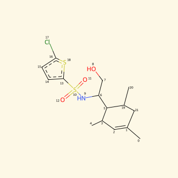 CC1=CC(C)C(C(CO)NS(=O)(=O)c2ccc(Cl)s2)C(C)C1